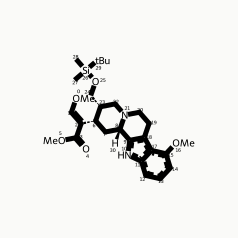 CO/C=C(/C(=O)OC)[C@H]1C[C@H]2c3[nH]c4cccc(OC)c4c3CCN2C[C@H]1CO[Si](C)(C)C(C)(C)C